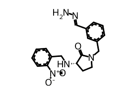 NN=Cc1cccc(CN2CC[C@H](NCc3ccccc3[N+](=O)[O-])C2=O)c1